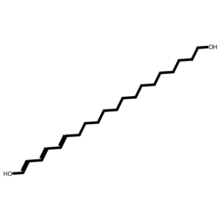 OC=CC=CC=CCCCCCCCCCCCCCCO